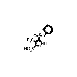 O=S(=O)(O)c1n[nH]c(S(=O)(=O)Oc2ccccc2)c1C(F)(F)F